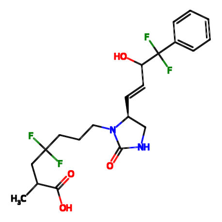 CC(CC(F)(F)CCCN1C(=O)NC[C@@H]1C=CC(O)C(F)(F)c1ccccc1)C(=O)O